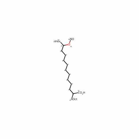 CCCCCCCCC(CCCCCCCCCC(CCCCCC)ON=O)C(=O)O